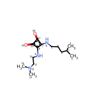 CC(C)CCCNc1c(NCCN(C)C)c(=O)c1=O